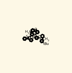 Cc1cc2c3c(c1)-n1c4sc5ccccc5c4c4cccc(c41)B3c1ccc(N3c4ccc(C(C)(C)C)cc4C4(C)CCCCC34C)cc1N2c1cccc2oc3ccccc3c12